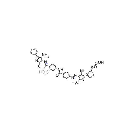 Cc1nn(-c2cccc(SOOO)c2)c(N)c1/N=N/c1ccc(C(=O)Nc2ccc(/N=N/c3c(C)nn(-c4ccccc4)c3N)c(S(=O)(=O)O)c2)cc1